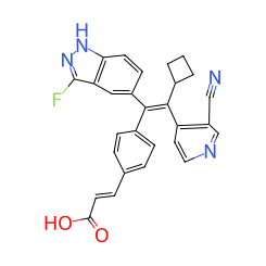 N#Cc1cnccc1/C(=C(\c1ccc(/C=C/C(=O)O)cc1)c1ccc2[nH]nc(F)c2c1)C1CCC1